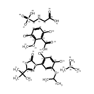 CC(C)Oc1cc(-n2nc(C(C)(C)C)oc2=O)c(Cl)cc1Cl.COc1c(Cl)ccc(Cl)c1C(=O)O.C[S+](C)C.O=C(O)CNCP(=O)([O-])O